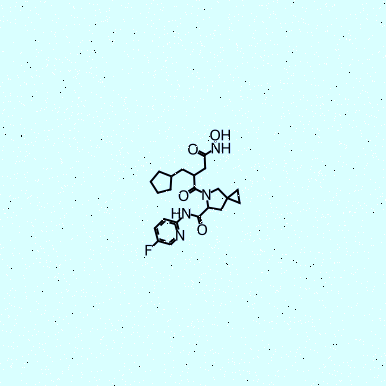 O=C(CC(CC1CCCC1)C(=O)N1CC2(CC2)CC1C(=O)Nc1ccc(F)cn1)NO